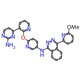 COc1cccc(-c2nnc(Nc3ccc(Oc4ncccc4-c4ccnc(N)n4)nc3)c3ccccc23)n1